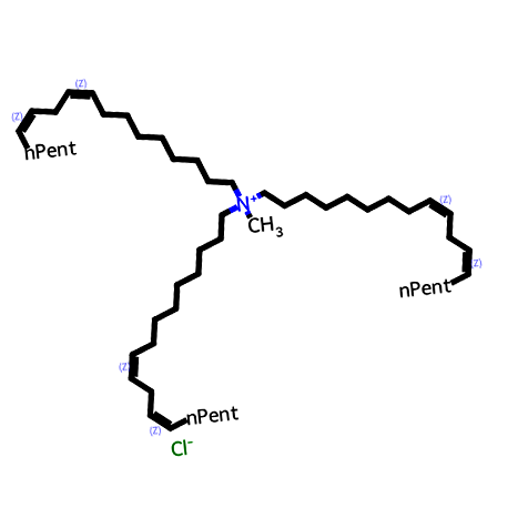 CCCCC/C=C\C/C=C\CCCCCCCC[N+](C)(CCCCCCCC/C=C\C/C=C\CCCCC)CCCCCCCC/C=C\C/C=C\CCCCC.[Cl-]